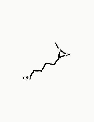 CCCCCCCCC1NN1C